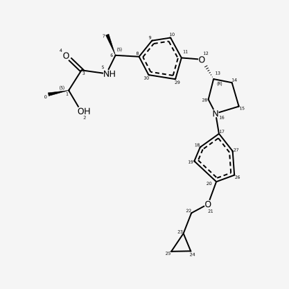 C[C@H](O)C(=O)N[C@@H](C)c1ccc(O[C@@H]2CCN(c3ccc(OCC4CC4)cc3)C2)cc1